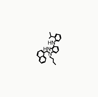 CCCCN1c2cccc(Nc3ccccc3C(C)C)c2NC1c1cccc2ccccc12